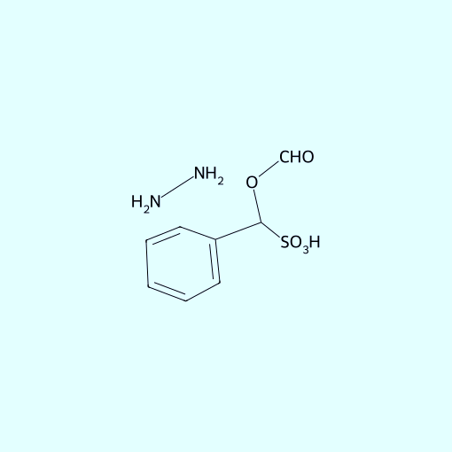 NN.O=COC(c1ccccc1)S(=O)(=O)O